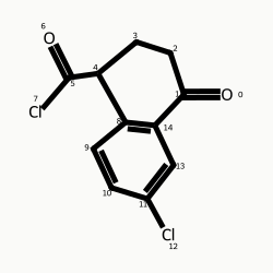 O=C1CCC(C(=O)Cl)c2ccc(Cl)cc21